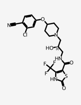 N#Cc1ccc(OC2CCN(C[C@H](O)CNC(=O)c3sc(=O)[nH]c3C(F)(F)F)CC2)cc1Cl